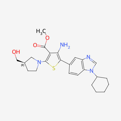 COC(=O)c1c(N2CC[C@@H](CO)C2)sc(-c2ccc3c(c2)ncn3C2CCCCC2)c1N